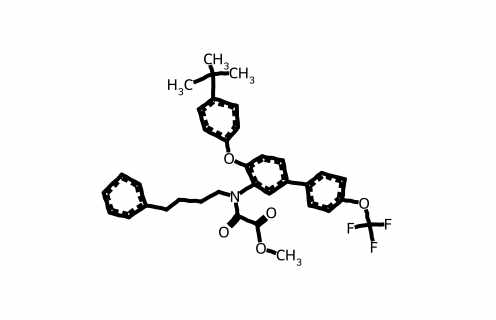 COC(=O)C(=O)N(CCCCc1ccccc1)c1cc(-c2ccc(OC(F)(F)F)cc2)ccc1Oc1ccc(C(C)(C)C)cc1